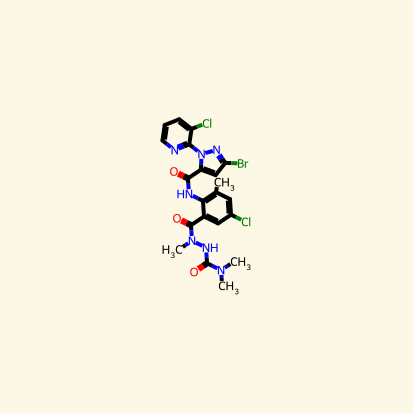 Cc1cc(Cl)cc(C(=O)N(C)NC(=O)N(C)C)c1NC(=O)c1cc(Br)nn1-c1ncccc1Cl